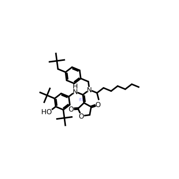 CCCCCCC(C)N(Cc1ccc(CC(C)(C)C)cc1)/C(Nc1cc(C(C)(C)C)c(O)c(C(C)(C)C)c1)=C1\C(=O)COC1=O